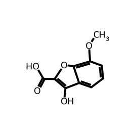 COc1cccc2c(O)c(C(=O)O)oc12